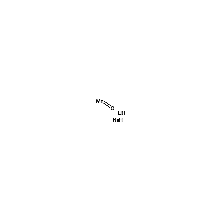 [LiH].[NaH].[O]=[Mn]